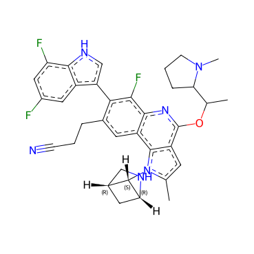 Cc1cc2c(OC(C)C3CCCN3C)nc3c(F)c(-c4c[nH]c5c(F)cc(F)cc45)c(CCC#N)cc3c2n1[C@H]1[C@H]2CN[C@@H]1C2